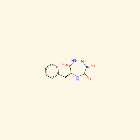 O=C1NNC(=O)[C@H](Cc2ccccc2)NC1=O